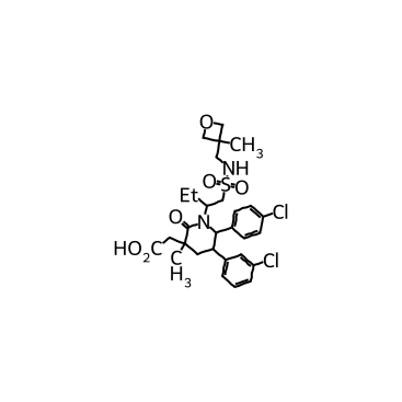 CCC(CS(=O)(=O)NCC1(C)COC1)N1C(=O)C(C)(CC(=O)O)CC(c2cccc(Cl)c2)C1c1ccc(Cl)cc1